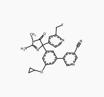 CN1C(=O)C(c2cc(OC3CC3)cc(-c3cncc(C#N)c3)c2)(c2ccnc(CF)c2)N=C1N